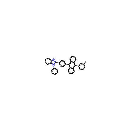 Cc1cccc(-c2c3ccccc3c(-c3ccc(-c4nc5ccccc5n4-c4ccccc4)cc3)c3ccccc23)c1